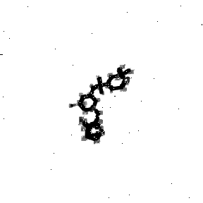 C[C@@H]1CC(CC(C)(C)C2CCOC(C)(C)C2)CN(Cc2sccc2F)C1